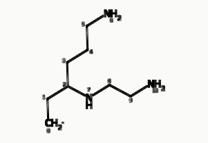 [CH2]CC(CCCN)NCCN